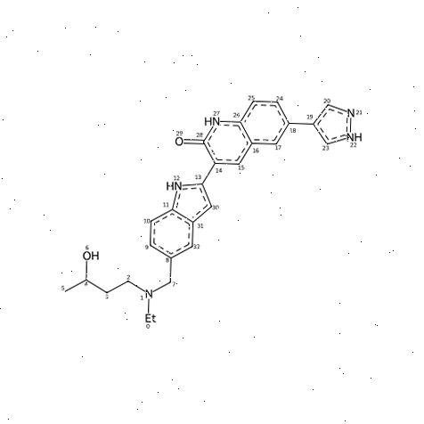 CCN(CCC(C)O)Cc1ccc2[nH]c(-c3cc4cc(-c5cn[nH]c5)ccc4[nH]c3=O)cc2c1